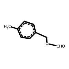 Cc1ccc([CH]OC=O)cc1